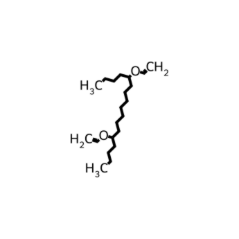 C=COC(CCCC)CCCCCCCC(CCCC)OC=C